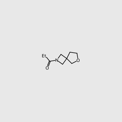 CCC(=O)N1CC2(CCOC2)C1